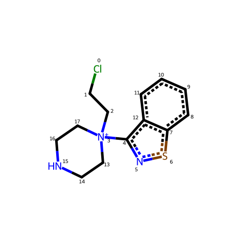 ClCC[N+]1(c2nsc3ccccc23)CCNCC1